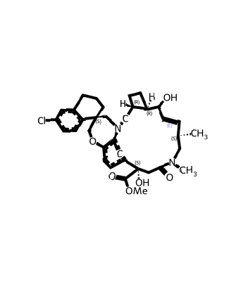 COC(=O)[C@]1(O)CC(=O)N(C)C[C@@H](C)/C=C/C(O)[C@@H]2CC[C@H]2CN2C[C@@]3(CCCc4cc(Cl)ccc43)COc3ccc1cc32